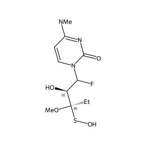 CC[C@@](OC)(SO)[C@@H](O)C(F)n1ccc(NC)nc1=O